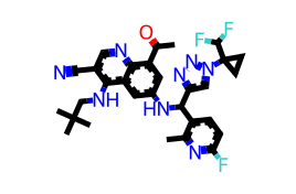 CC(=O)c1cc(NC(c2cn(C3(C(F)F)CC3)nn2)c2ccc(F)nc2C)cc2c(NCC(C)(C)C)c(C#N)cnc12